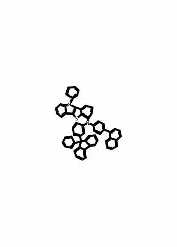 c1ccc(-n2c3ccccc3c3sc4c(N(c5ccc(-c6cccc7ccccc67)cc5)c5cccc(C6(c7ccccc7)c7ccccc7-c7ccccc76)c5)cccc4c32)cc1